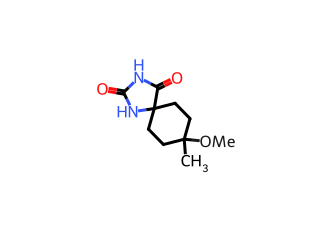 COC1(C)CCC2(CC1)NC(=O)NC2=O